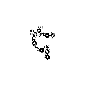 Cc1ncsc1-c1ccc(CNC(=O)[C@@H]2C[C@@H](O)CN2C(=O)[C@@H](NC(=O)CN2CC3(CCN(CCOc4cc(F)c([C@@H]5c6[nH]c7ccccc7c6C[C@@H](C)N5CC(C)(C)F)c(F)c4)CC3)C2)C(C)(C)C)cc1